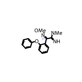 CNC(=N)/C(=N\OC)c1ccccc1Oc1ccccc1